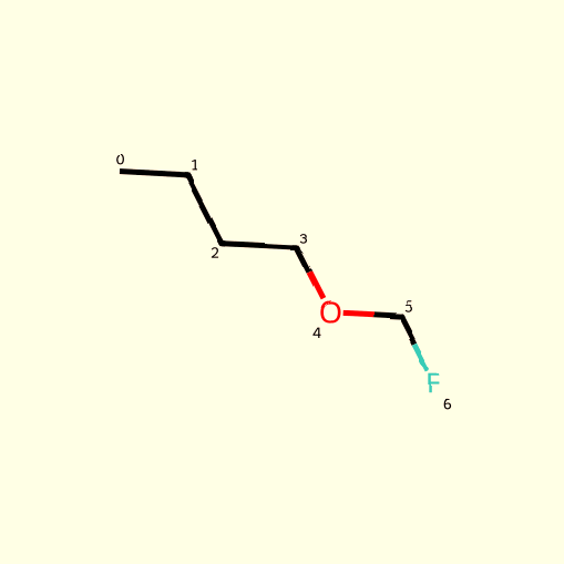 CCCCOCF